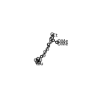 CCC(=O)N1CCOc2c(cc(-c3ccc(OC)c(OC)c3)cc2OCC2CCCN(CCOCCOCCOc3ccc(C4CCC(=O)N(C(=O)OC(C)(C)C)C4=O)cc3)C2)C1